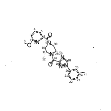 COc1cccc(C(=O)N2C[C@@H](C)N(C(=O)c3ncn(-c4cccc(C)c4)n3)[C@@H](C)C2)n1